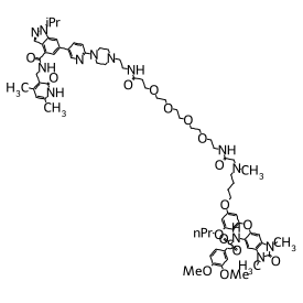 CCCOc1cc(OCCCCN(C)CC(=O)NCCOCCOCCOCCOCCC(=O)NCCN2CCN(c3ccc(-c4cc(C(=O)NCc5c(C)cc(C)[nH]c5=O)c5cnn(C(C)C)c5c4)cn3)CC2)cc(Oc2cc3c(cc2NS(=O)(=O)c2ccc(OC)c(OC)c2)n(C)c(=O)n3C)c1